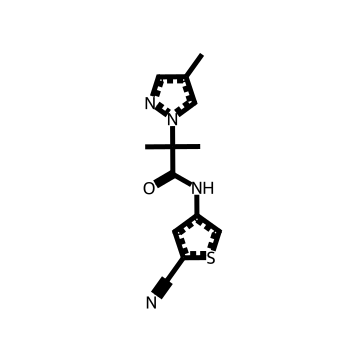 Cc1cnn(C(C)(C)C(=O)Nc2csc(C#N)c2)c1